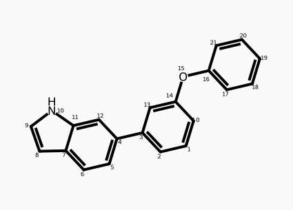 [c]1ccc(-c2ccc3cc[nH]c3c2)cc1Oc1ccccc1